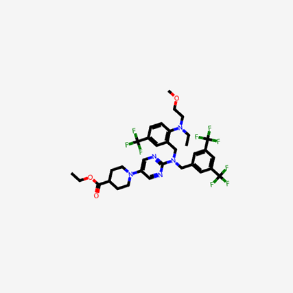 CCOC(=O)C1CCN(c2cnc(N(Cc3cc(C(F)(F)F)cc(C(F)(F)F)c3)Cc3cc(C(F)(F)F)ccc3N(CC)CCOC)nc2)CC1